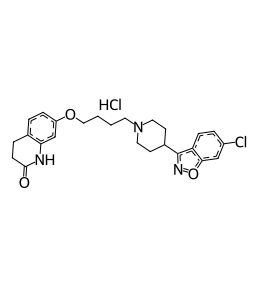 Cl.O=C1CCc2ccc(OCCCCN3CCC(c4noc5cc(Cl)ccc45)CC3)cc2N1